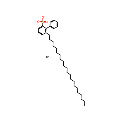 CCCCCCCCCCCCCCCCCCCCCCc1cccc(S(=O)(=O)[O-])c1-c1ccccc1.[K+]